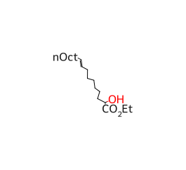 CCCCCCCCC=CCCCCCCC(O)C(=O)OCC